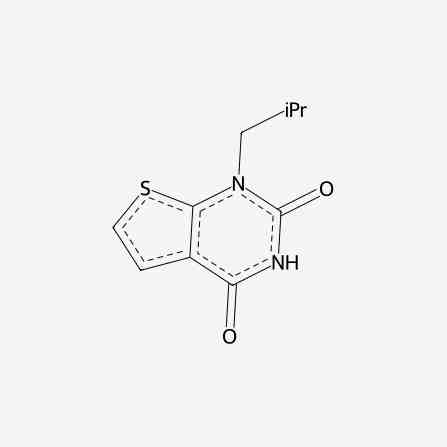 CC(C)Cn1c(=O)[nH]c(=O)c2ccsc21